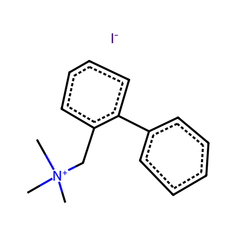 C[N+](C)(C)Cc1ccccc1-c1ccccc1.[I-]